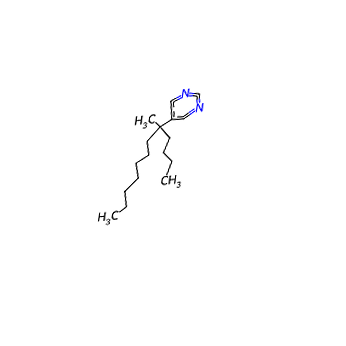 CCCCCCCC(C)(CCCC)c1cncnc1